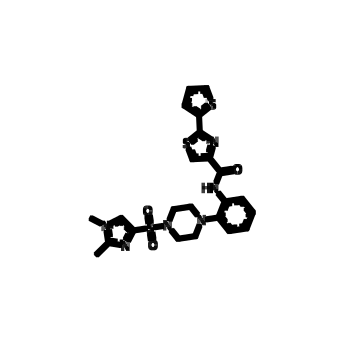 Cc1nc(S(=O)(=O)N2CCN(c3ccccc3NC(=O)c3csc(-c4cccs4)n3)CC2)cn1C